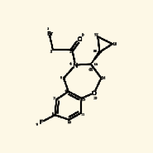 O=C(CBr)N1Cc2cc(F)ccc2OC[C@@H]1C1CC1